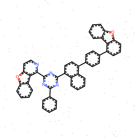 c1ccc(-c2nc(-c3ccc(-c4ccc(-c5cccc6oc7ccccc7c56)cc4)c4ccccc34)nc(-c3nccc4oc5ccccc5c34)n2)cc1